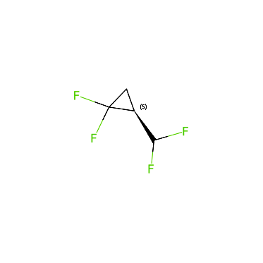 FC(F)[C@@H]1CC1(F)F